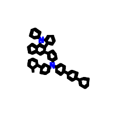 CC1C=CC=CC1c1cccc(N(c2ccc(-c3ccc(-c4ccccc4)cc3)cc2)c2cccc(-c3cc4ccccc4c4c3c3ccccc3n4-c3ccccc3)c2)c1